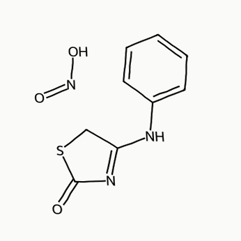 O=C1N=C(Nc2ccccc2)CS1.O=NO